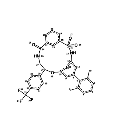 Cc1cccc(C)c1-c1cc2nc(n1)NS(=O)(=O)c1cccc(c1)C(=O)NCC(c1ccc(C(F)(F)F)cc1)O2